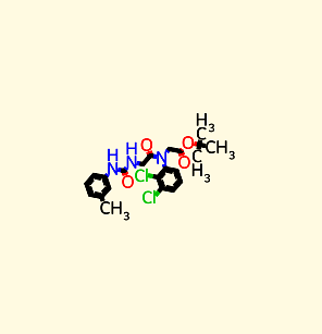 Cc1cccc(NC(=O)NCC(=O)N(CC(=O)OC(C)(C)C)c2cccc(Cl)c2Cl)c1